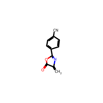 C=C1N=C(c2ccc(C#N)cc2)OC1=O